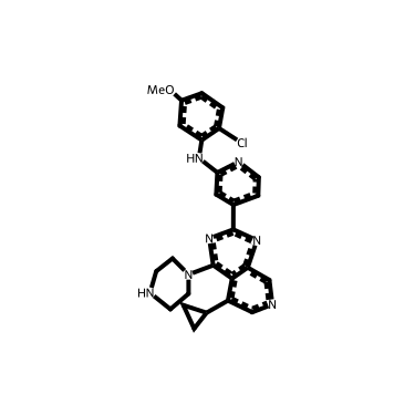 COc1ccc(Cl)c(Nc2cc(-c3nc(N4CCNCC4)c4c(C5CC5)cncc4n3)ccn2)c1